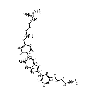 N=C(N)NCCCNCc1ccc(-n2cc3cc(-c4cccc(CCCCN)c4)[nH]c3nc2=O)cc1